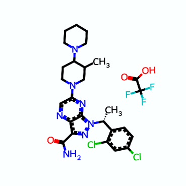 CC1CN(c2cnc3c(C(N)=O)nn([C@H](C)c4ccc(Cl)cc4Cl)c3n2)CCC1N1CCCCC1.O=C(O)C(F)(F)F